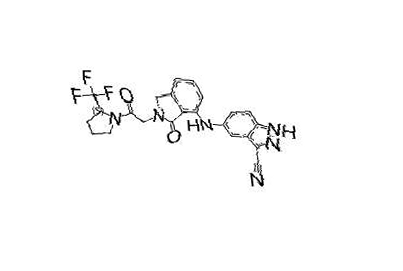 N#Cc1n[nH]c2ccc(Nc3cccc4c3C(=O)N(CC(=O)N3CCC[C@H]3C(F)(F)F)C4)cc12